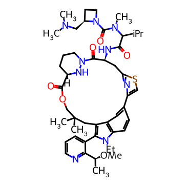 CCn1c(-c2cccnc2[C@H](C)OC)c2c3cc(ccc31)-c1csc(n1)C[C@H](NC(=O)C(C(C)C)N(C)C(=O)N1CC[C@@H]1CN(C)C)C(=O)N1CCC[C@H](N1)C(=O)OCC(C)(C)C2